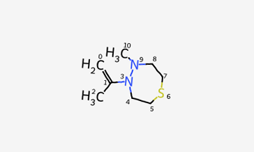 C=C(C)N1CCSCCN1C